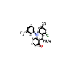 CNC(C1=C(Nc2cccc(C(F)(F)F)c2)CCCC1=O)c1ccc(C#N)cc1Cl